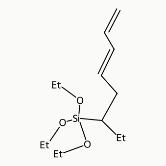 C=CC=CCC(CC)[Si](OCC)(OCC)OCC